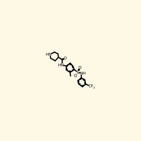 Cc1cc(NC(=O)C2CCNCC2)ccc1S(=O)(=O)Nc1cccc(C(F)(F)F)c1